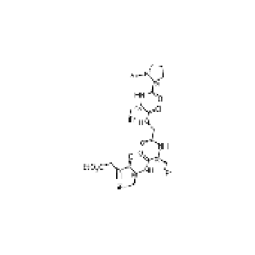 CCOC(=O)CNC(=O)[C@H](CC(C)C)NC(=O)[C@H](CC(C)C)NC(=O)CNC(=O)[C@H](CC(C)C)NC(=O)[C@@H]1CCCN1C(C)=O